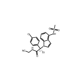 CC[C@](C(=O)NCC#N)(c1ccc(Cl)cc1)n1ccc2c(NS(C)(=O)=O)cccc21